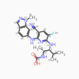 CC(C)[C@H](Nc1nc(Nc2ccc3cnn(C)c3c2)c(C#N)cc1F)[C@H](C)NC(=O)O